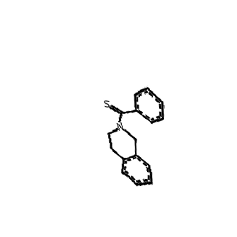 S=C(c1ccccc1)N1CCc2ccccc2C1